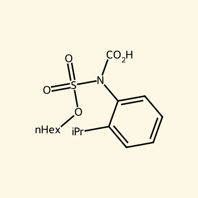 CCCCCCOS(=O)(=O)N(C(=O)O)c1ccccc1C(C)C